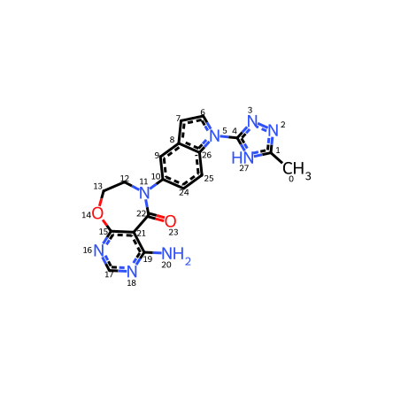 Cc1nnc(-n2ccc3cc(N4CCOc5ncnc(N)c5C4=O)ccc32)[nH]1